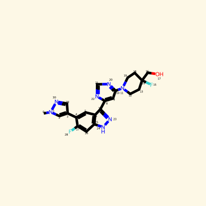 Cn1cc(-c2cc3c(-c4cc(N5CCC(F)(CO)CC5)ncn4)n[nH]c3cc2F)cn1